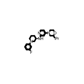 CC(C)C1CN(c2ccnc(N[C@@H]3CCCN(c4cccc(F)c4)C3)c2)CCO1